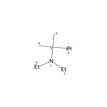 CCN(CC)C(C)(C)C(C)C